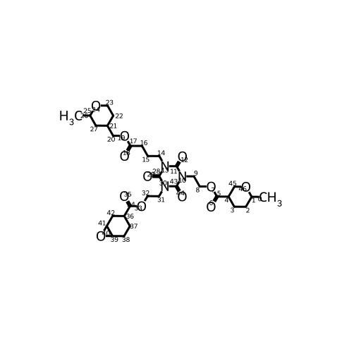 CC1CCC(C(=O)OCCn2c(=O)n(CCCC(=O)OCC3CCOC(C)C3)c(=O)n(CCOC(=O)C3CCC4OC4C3)c2=O)CO1